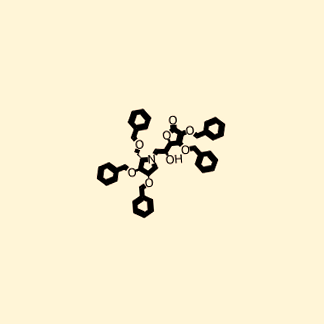 O=C1O[C@H]([C@@H](O)CN2C[C@H](OCc3ccccc3)[C@@H](OCc3ccccc3)[C@@H]2COCc2ccccc2)C(OCc2ccccc2)=C1OCc1ccccc1